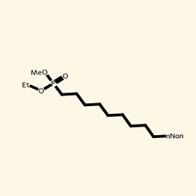 CCCCCCCCCCCCCCCCCCP(=O)(OC)OCC